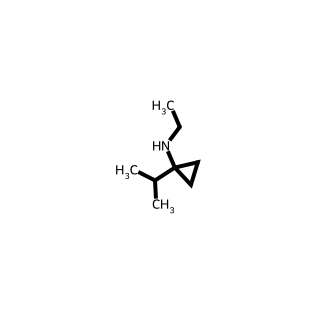 CCNC1(C(C)C)CC1